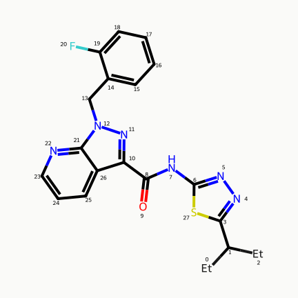 CCC(CC)c1nnc(NC(=O)c2nn(Cc3ccccc3F)c3ncccc23)s1